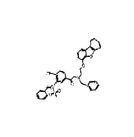 CS(=O)(=O)N(Cc1ccccc1)c1cc(C(=O)CN(CCOc2cccc3c4c(sc23)CCCC4)Cc2ccccc2)ccc1Cl